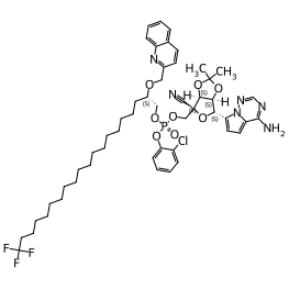 CC1(C)O[C@H]2[C@H](c3ccc4c(N)ncnn34)O[C@](C#N)(COP(=O)(OC[C@H](CCCCCCCCCCCCCCCCCC(F)(F)F)OCc3ccc4ccccc4n3)Oc3ccccc3Cl)[C@H]2O1